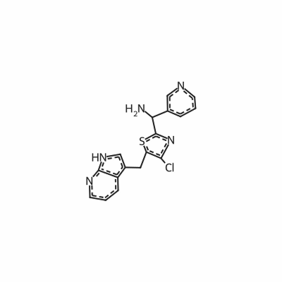 NC(c1cccnc1)c1nc(Cl)c(Cc2c[nH]c3ncccc23)s1